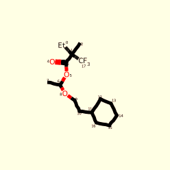 CCC(C)(C(=O)OC(C)OCCC1CCCCC1)C(F)(F)F